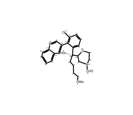 COCCCC[C@@](O)(c1cccc(Cl)c1-c1cnc2ccccc2c1)C1CN(C=O)CCO1